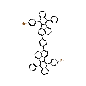 Brc1ccc(-c2c3c(c(-c4ccccc4)c4ccccc24)-c2cccc4c(-c5ccc(-c6ccc7c8c(cccc68)-c6c-7c(-c7ccc(Br)cc7)c7ccccc7c6-c6ccccc6)cc5)ccc-3c24)cc1